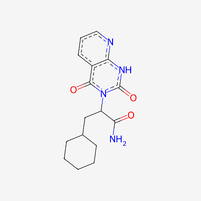 NC(=O)C(CC1CCCCC1)n1c(=O)[nH]c2ncccc2c1=O